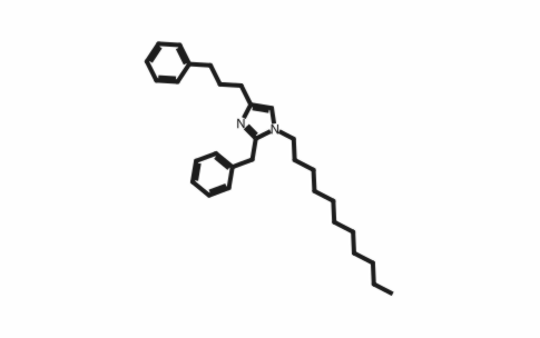 CCCCCCCCCCCn1cc(CCCc2ccccc2)nc1Cc1ccccc1